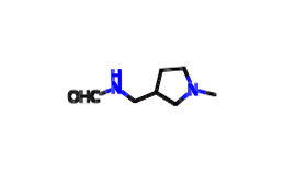 CN1CCC(CNC=O)C1